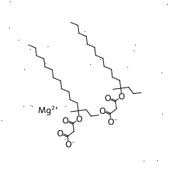 CCCCCCCCCCCCC(C)(CCC)OC(=O)CC(=O)[O-].CCCCCCCCCCCCC(C)(CCC)OC(=O)CC(=O)[O-].[Mg+2]